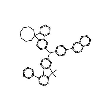 CC1(C)c2cc(N(c3ccc(-c4ccc5ccccc5c4)cc3)c3ccc(C4(c5ccccc5)CCCCCCC4)cc3)ccc2-c2c(-c3ccccc3)cccc21